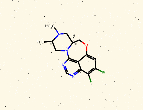 C[C@@H]1CN2c3ncnc4c(F)c(Br)cc(c34)OC[C@@H]2CN1C(=O)O